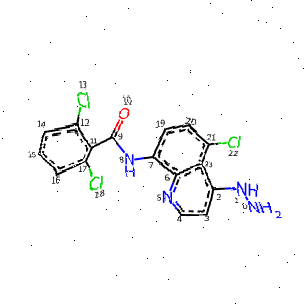 NNc1ccnc2c(NC(=O)c3c(Cl)cccc3Cl)ccc(Cl)c12